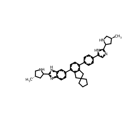 C[C@@H]1CNC(c2ncc(-c3ccc(-c4ccc(-c5ccc6nc(C7C[C@H](C)CN7)[nH]c6c5)c5c4CC4(CCCC4)C5)cc3)[nH]2)C1